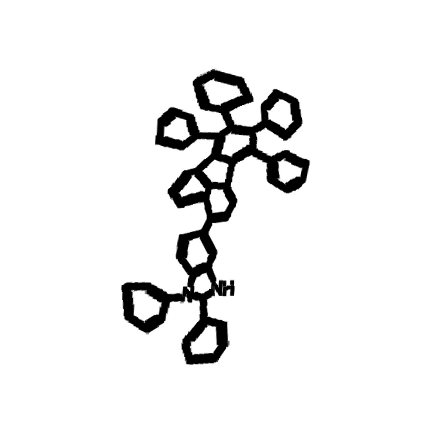 c1ccc(-c2c(-c3ccccc3)c(-c3ccccc3)c3c(c2-c2ccccc2)-c2cccc4c(-c5ccc6c(c5)NC(c5ccccc5)N6c5ccccc5)ccc-3c24)cc1